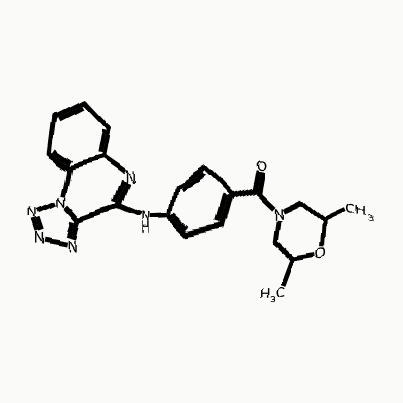 CC1CN(C(=O)c2ccc(Nc3nc4ccccc4n4nnnc34)cc2)CC(C)O1